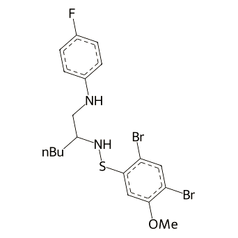 CCCCC(CNc1ccc(F)cc1)NSc1cc(OC)c(Br)cc1Br